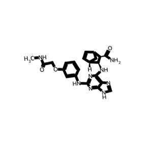 CNC(=O)COc1cccc(Nc2nc(N[C@H]3[C@@H]4C=CC(C4)[C@H]3C(N)=O)c3nc[nH]c3n2)c1